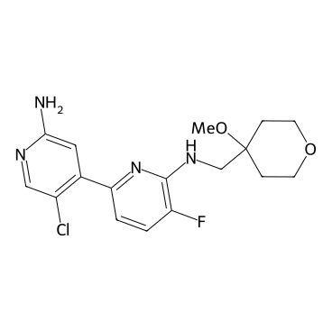 COC1(CNc2nc(-c3cc(N)ncc3Cl)ccc2F)CCOCC1